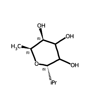 CC(C)[C@@H]1O[C@@H](C)[C@@H](O)C(O)C1O